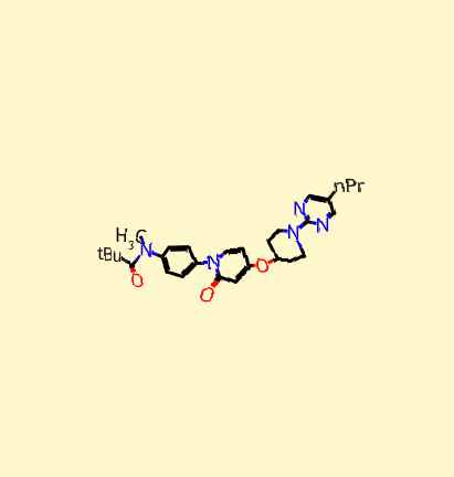 CCCc1cnc(N2CCC(Oc3ccn(-c4ccc(N(C)C(=O)C(C)(C)C)cc4)c(=O)c3)CC2)nc1